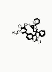 Cc1cc(-c2ccc3nc(Cl)nc(C(COC4CCCCO4)(CC4CC4)c4ccccc4)c3c2)cn(C)c1=O